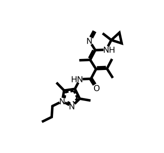 C=N/C(NC1(C)CC1)=C(\C)C(C(=O)Nc1c(C)nn(CCC)c1C)=C(C)C